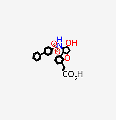 O=C(O)C=Cc1cccc2c1OC1CC(O)C(NS(=O)(=O)c3ccc(-c4ccccc4)cc3)C21